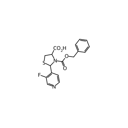 O=C(O)C1CSC(c2ccncc2F)N1C(=O)OCc1ccccc1